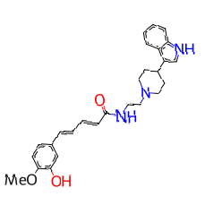 COc1ccc(C=CC=CC(=O)NCCN2CCC(c3c[nH]c4ccccc34)CC2)cc1O